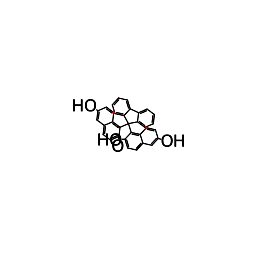 Oc1ccc2c(C3(c4c5c(cc6cc(O)ccc46)O5)c4ccccc4-c4ccccc43)c(O)ccc2c1